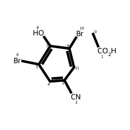 CC(=O)O.N#Cc1cc(Br)c(O)c(Br)c1